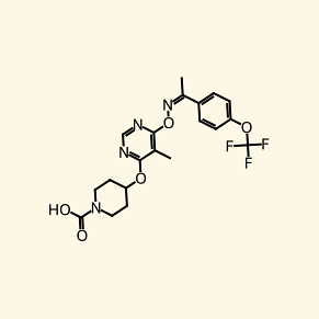 CC(=NOc1ncnc(OC2CCN(C(=O)O)CC2)c1C)c1ccc(OC(F)(F)F)cc1